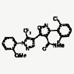 CNC(=O)c1c(-c2c(F)cccc2Cl)noc1-c1cnn(-c2ccccc2OC)c1C(F)(F)F